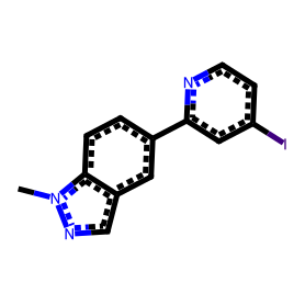 Cn1ncc2cc(-c3cc(I)ccn3)ccc21